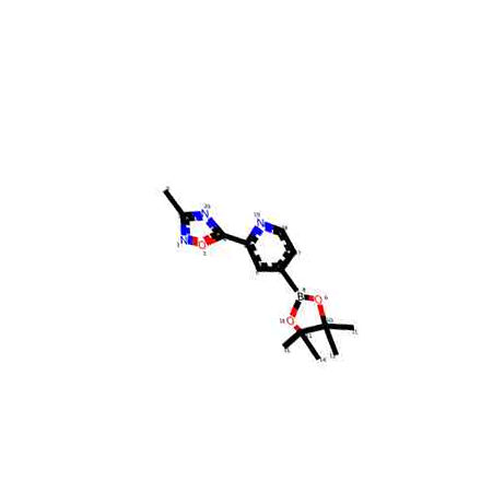 Cc1noc(-c2cc(B3OC(C)(C)C(C)(C)O3)ccn2)n1